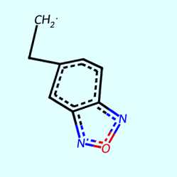 [CH2]Cc1ccc2nonc2c1